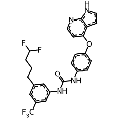 O=C(Nc1ccc(Oc2ccnc3[nH]ccc23)cc1)Nc1cc(CCCC(F)F)cc(C(F)(F)F)c1